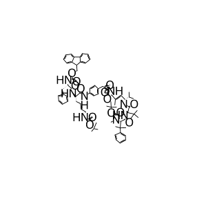 C/C(=C\[C@H](C(C)C)N(C)C(=O)[C@@H](NC(=O)[C@@H](N(C)C(=O)OC(C)(C)C)C(C)(C)c1ccccc1)C(C)(C)C)C(=O)NS(=O)(=O)Cc1ccc(NC(=O)[C@H](CCCCNC(=O)OC(C)(C)C)NC(=O)[C@H](Cc2ccccc2)NC(=O)OCC2c3ccccc3-c3ccccc32)cc1